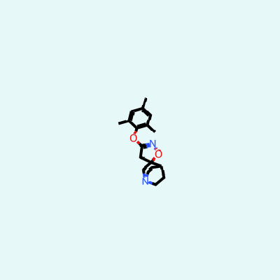 Cc1cc(C)c(OC2=NOC3(C2)CN2CCC3CC2)c(C)c1